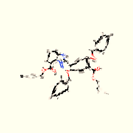 CCOC(=O)c1cc(OCc2ccccc2)c(-c2nc3cccc(C(=O)OCC)c3[nH]2)cc1OCc1ccccc1